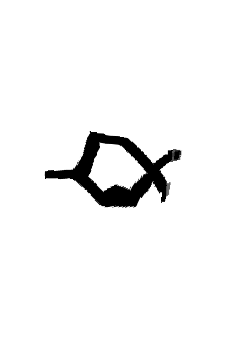 CCC1(F)C=CC(C)=CC1